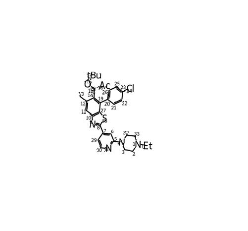 CCN1CCN(c2cc(-c3nc4cc(C)c([C@H](OC(C)(C)C)C(C)=O)c(-c5ccc(Cl)cc5)c4s3)ccn2)CC1